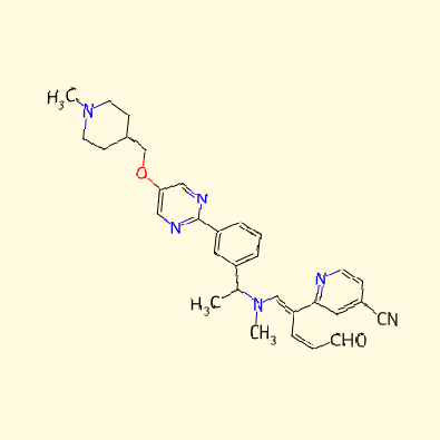 CC(c1cccc(-c2ncc(OCC3CCN(C)CC3)cn2)c1)N(C)/C=C(\C=C/C=O)c1cc(C#N)ccn1